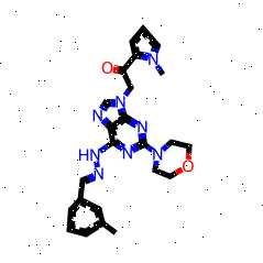 Cc1cccc(C=NNc2nc(N3CCOCC3)nc3c2ncn3CC(=O)c2cccn2C)c1